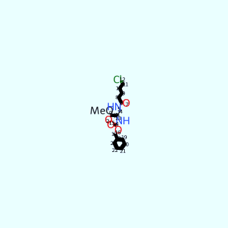 COC(=O)[C@H](CNC(=O)CCCCCl)NC(=O)OCc1ccccc1